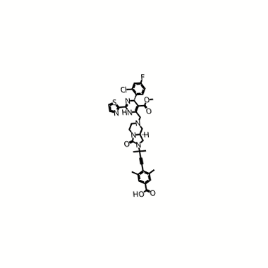 COC(=O)C1=C(CN2CCN3C(=O)N(C(C)(C)C#Cc4c(C)cc(C(=O)O)cc4C)C[C@@H]3C2)NC(c2nccs2)=N[C@H]1c1ccc(F)cc1Cl